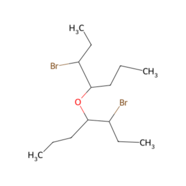 CCCC(OC(CCC)C(Br)CC)C(Br)CC